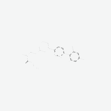 Cc1cc(C(F)(F)F)cc(O)c1-c1ccc(N2CCOC(CCN(C)C(=O)OC(C)(C)C)C2)nn1